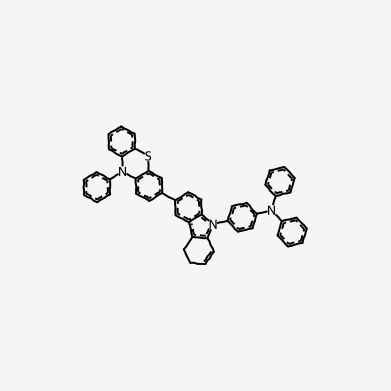 C1=Cc2c(c3cc(-c4ccc5c(c4)Sc4ccccc4N5c4ccccc4)ccc3n2-c2ccc(N(c3ccccc3)c3ccccc3)cc2)CC1